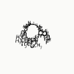 CC[C@@H]1[C@@H]2CN(C(=O)[C@H](C(C)(C)C)NC(=O)O[C@@H]3C[C@H]3CCCCC(F)(F)c3cc4ccc(OC(F)(F)F)cc4nc3O2)[C@@H]1C(C)=O